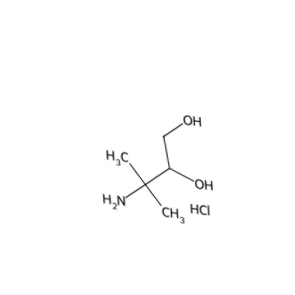 CC(C)(N)C(O)CO.Cl